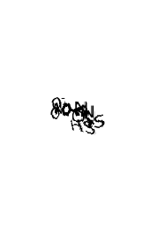 O=[N+]([O-])c1ccc(-c2nnc(C(=S)S)o2)cc1